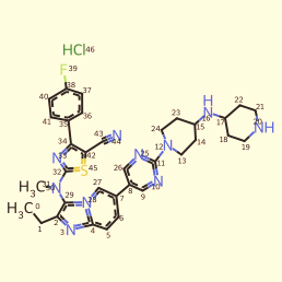 CCc1nc2ccc(-c3cnc(N4CCC(NC5CCNCC5)CC4)nc3)cn2c1N(C)c1nc(-c2ccc(F)cc2)c(C#N)s1.Cl